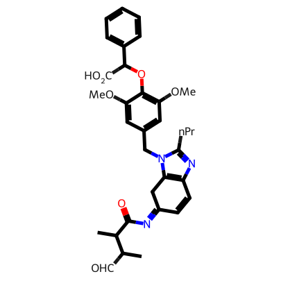 CCCc1nc2c(n1Cc1cc(OC)c(OC(C(=O)O)c3ccccc3)c(OC)c1)CC(=NC(=O)C(C)C(C)C=O)C=C2